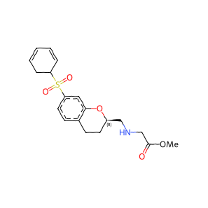 COC(=O)CNC[C@H]1CCc2ccc(S(=O)(=O)C3C=CC=CC3)cc2O1